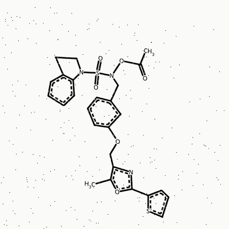 CC(=O)ON(Cc1cccc(OCc2nc(-c3cccs3)oc2C)c1)S(=O)(=O)N1CCc2ccccc21